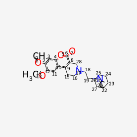 COc1cc2oc(=O)c3c(c2cc1OC)CCN(CCN1CC2CCC1CC2)C3